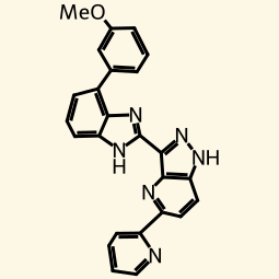 COc1cccc(-c2cccc3[nH]c(-c4n[nH]c5ccc(-c6ccccn6)nc45)nc23)c1